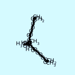 C=C(C)C(=O)OCCOCCOCCOCCOC(=O)CCCOc1cc(C)c(OCCCC(=O)OCCOCCOCCOCCOC(=O)C(=C)C)c2c1NC(=C(C)C)N2